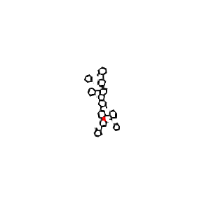 c1ccc(N(c2ccc3oc4ccccc4c3c2)c2cccc3c2c2cccc4c5cc6c(cc5n3c42)c2cccc3c4c(N(c5ccccc5)c5cccc7c5oc5ccccc57)cccc4n6c23)cc1